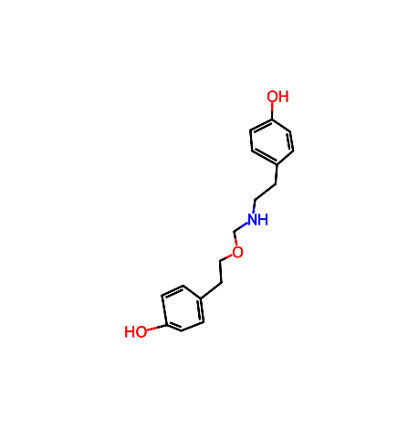 Oc1ccc(CCNCOCCc2ccc(O)cc2)cc1